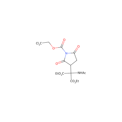 CCOC(=O)C(NC(C)=O)(C(=O)OCC)C1CC(=O)N(C(=O)OCC(Cl)(Cl)Cl)C1=O